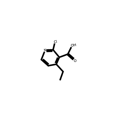 CCc1ccnc(Cl)c1C(=O)O